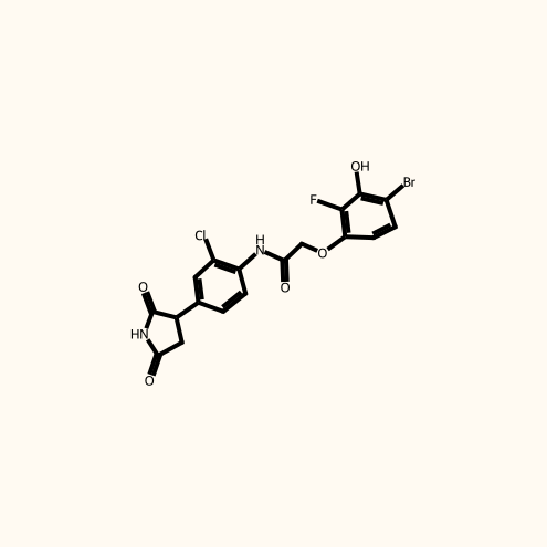 O=C1CC(c2ccc(NC(=O)COc3ccc(Br)c(O)c3F)c(Cl)c2)C(=O)N1